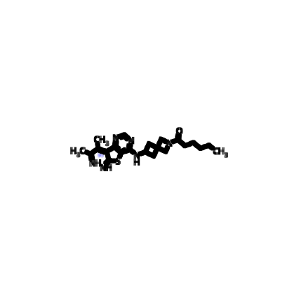 CCCCCC(=O)N1CC2(CC(Nc3ncnc4c3SC(=N)/C4=C(/C)C(C)=N)C2)C1